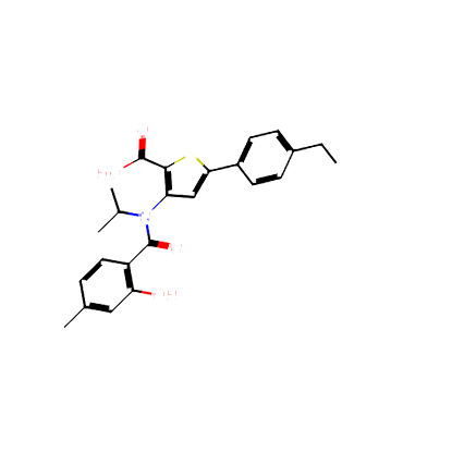 CCc1ccc(-c2cc(N(C(=O)c3ccc(C)cc3O)C(C)C)c(C(=O)O)s2)cc1